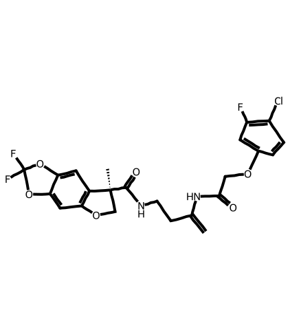 C=C(CCNC(=O)[C@@]1(C)COc2cc3c(cc21)OC(F)(F)O3)NC(=O)COc1ccc(Cl)c(F)c1